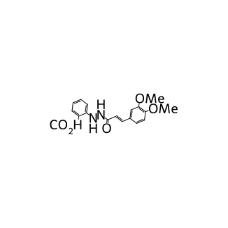 COc1ccc(C=CC(=O)NNc2ccccc2C(=O)O)cc1OC